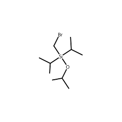 CC(C)O[Si](CBr)(C(C)C)C(C)C